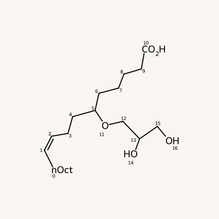 CCCCCCCC/C=C\CCC(CCCCC(=O)O)OCC(O)CO